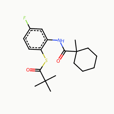 CC(C)(C)C(=O)Sc1ccc(F)cc1NC(=O)C1(C)CCCCC1